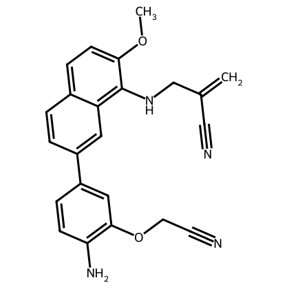 C=C(C#N)CNc1c(OC)ccc2ccc(-c3ccc(N)c(OCC#N)c3)cc12